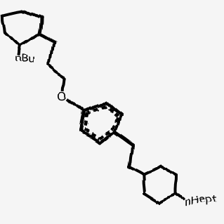 CCCCCCCC1CCC(CCc2ccc(OCCCC3CCCCC3CCCC)cc2)CC1